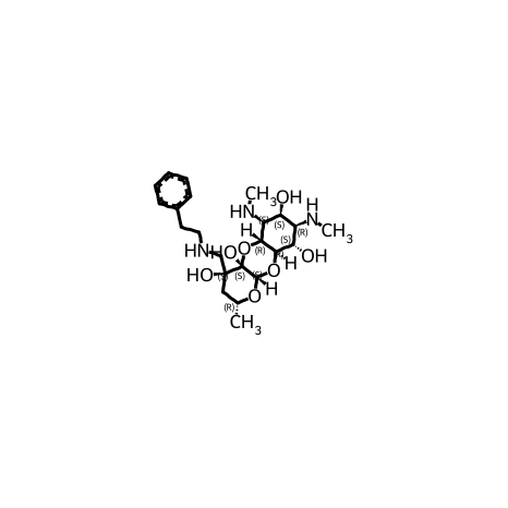 CN[C@@H]1[C@H](O)[C@H](NC)[C@H]2O[C@]3(O)[C@H](O[C@@H]2[C@H]1O)O[C@H](C)C[C@]3(O)CNCCc1ccccc1